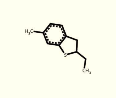 CCC1Cc2ccc(C)cc2S1